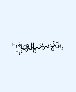 C=C(C)C(=O)OCCOC(=O)CCC(=O)NCC(=O)OC(C)(C)COC